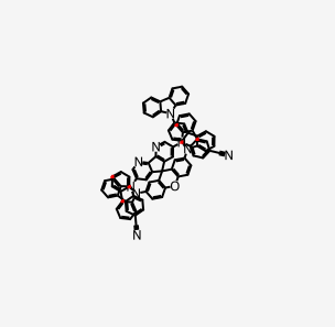 N#Cc1ccc2c(c1)c1ccccc1n2-c1cnc2c(c1)C1(c3cc(-n4c5ccccc5c5ccccc54)ccc3Oc3ccc(-n4c5ccccc5c5cc(-n6c7ccccc7c7ccccc76)ccc54)cc31)c1cc(-n3c4ccccc4c4cc(C#N)ccc43)cnc1-2